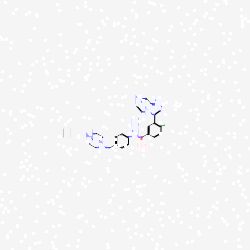 CN1CCN(Cc2ccc(NC(=O)c3ccc(F)c(-c4cnc5cnccn45)c3)cc2C(F)(F)F)CC1